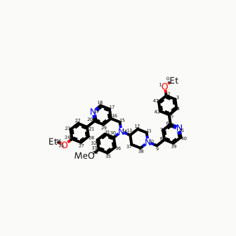 CCOc1ccc(-c2cc(CN3CCC(N(Cc4ccnc(-c5ccc(OCC)cc5)c4)c4ccc(OC)cc4)CC3)ccn2)cc1